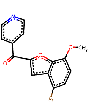 COc1ccc(Br)c2cc(C(=O)c3ccncc3)oc12